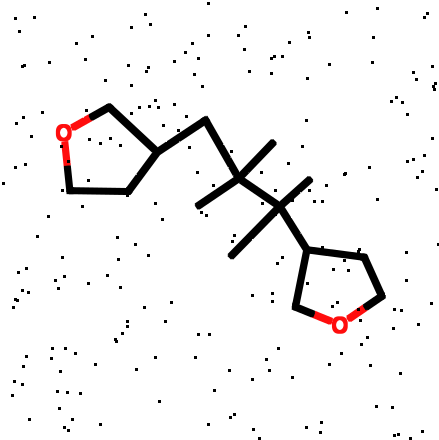 CC(C)(CC1CCOC1)C(C)(C)C1CCOC1